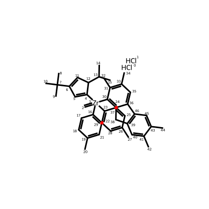 Cl.Cl.[CH2]=[Zr]([C]1=CC(C(C)(C)C)=CC1C(C)C)([c]1ccc(C)cc1)([c]1ccc(C)cc1)[c]1c(C)c(C)cc2c1Cc1cc(C)c(C)cc1-2